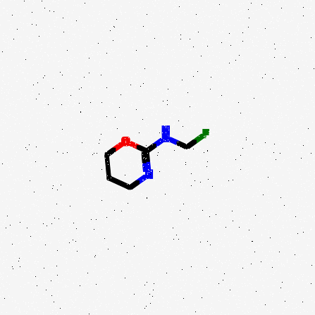 FCNC1=NCCCO1